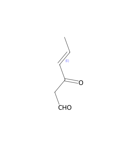 C/C=C/C(=O)CC=O